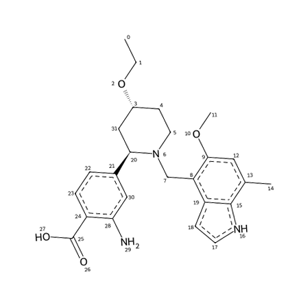 CCO[C@@H]1CCN(Cc2c(OC)cc(C)c3[nH]ccc23)[C@@H](c2ccc(C(=O)O)c(N)c2)C1